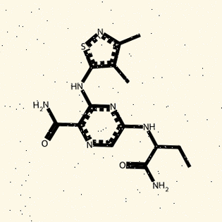 CCC(Nc1cnc(C(N)=O)c(Nc2snc(C)c2C)n1)C(N)=O